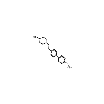 CCCCOc1ccc(-c2ccc(CCC3CCC(CCCC)CC3)cc2)nc1